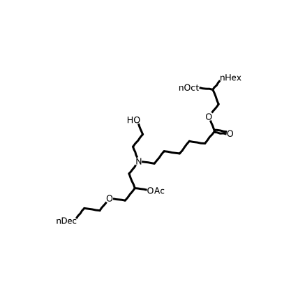 CCCCCCCCCCCCOCC(CN(CCO)CCCCCC(=O)OCC(CCCCCC)CCCCCCCC)OC(C)=O